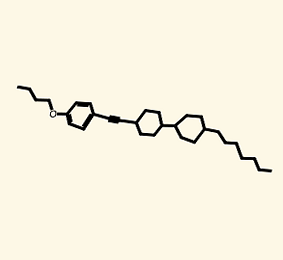 CCCCCCCC1CCC(C2CCC(C#Cc3ccc(OCCCC)cc3)CC2)CC1